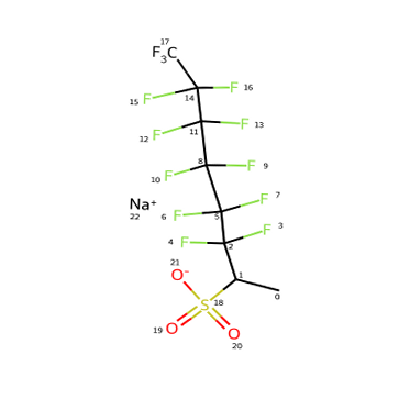 CC(C(F)(F)C(F)(F)C(F)(F)C(F)(F)C(F)(F)C(F)(F)F)S(=O)(=O)[O-].[Na+]